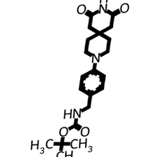 CC(C)(C)OC(=O)NCc1ccc(N2CCC3(CC2)CC(=O)NC(=O)C3)cc1